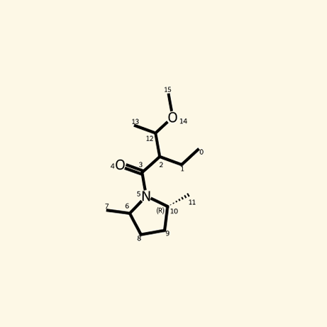 CCC(C(=O)N1C(C)CC[C@H]1C)C(C)OC